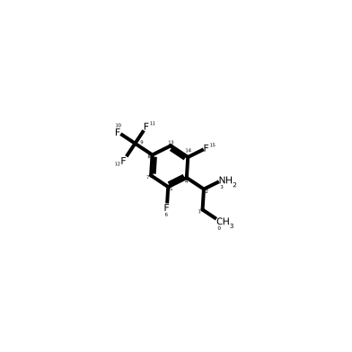 CCC(N)c1c(F)cc(C(F)(F)F)cc1F